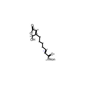 CCCCCCCCCC(=O)/C=C/CCCCC1=CC(=O)OC1O